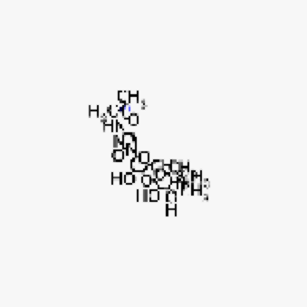 C/C=C(\C)C(=O)Nc1ccn(C2CC(O)C(OC3OC(C)C(N(C)C)C(O)C3O)C(C)O2)c(=O)n1